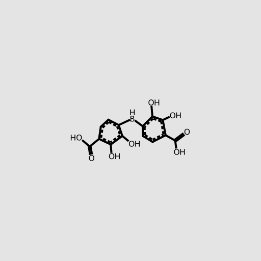 O=C(O)c1ccc(Bc2ccc(C(=O)O)c(O)c2O)c(O)c1O